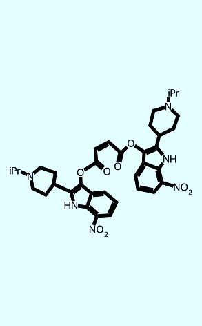 CC(C)N1CCC(c2[nH]c3c([N+](=O)[O-])cccc3c2OC(=O)/C=C\C(=O)Oc2c(C3CCN(C(C)C)CC3)[nH]c3c([N+](=O)[O-])cccc23)CC1